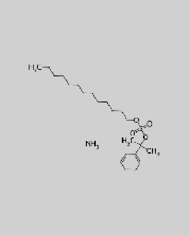 CCCCCCCCCCCCCOS(=O)(=O)OC(C)(C)c1ccccc1.N